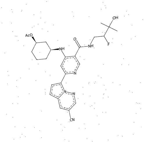 CC(=O)O[C@@H]1CCC[C@H](Nc2cc(-c3ccc4cc(C#N)cnn34)ncc2C(=O)NCC(F)C(C)(C)O)C1